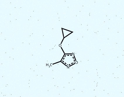 Cc1nonc1OC1CC1